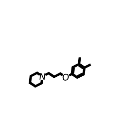 Cc1ccc(OCCCN2CCCCC2)cc1C